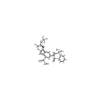 CN(Cc1nc2c(C(=O)O)cc(NC(=O)c3ccccc3C(F)(F)F)cc2[nH]1)C(=O)OC(C)(C)C